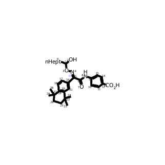 CCCCCCCC(O)O/N=C(/C(=O)Nc1ccc(C(=O)O)cc1)c1ccc2c(c1)C(C)(C)CCC2(C)C